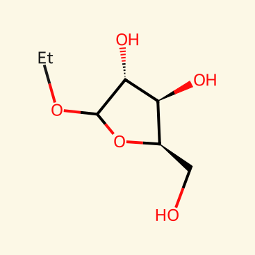 CCOC1O[C@H](CO)[C@H](O)[C@H]1O